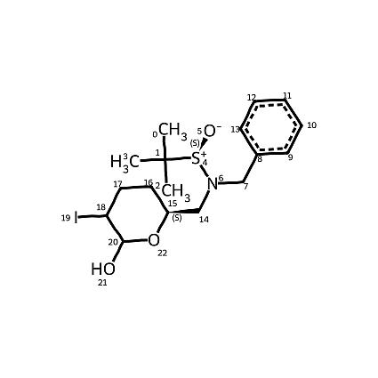 CC(C)(C)[S@@+]([O-])N(Cc1ccccc1)C[C@@H]1CCC(I)C(O)O1